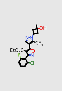 CCOC(=O)c1c(-c2c(F)cccc2Cl)noc1-c1cnn(C2CC(C)(O)C2)c1C(F)(F)F